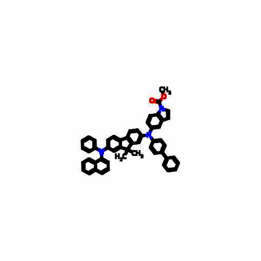 COC(=O)n1ccc2cc(N(c3ccc(-c4ccccc4)cc3)c3ccc4c(c3)C(C)(C)c3cc(N(c5ccccc5)c5cccc6ccccc56)ccc3-4)ccc21